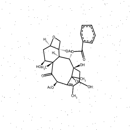 CC(=O)O[C@H]1C(=O)[C@@]2(C)[C@H]([C@H](OC(=O)c3ccccc3)[C@]3(O)CC(O)C(C)=C1C3(C)C)[C@]1(OC(C)=O)CO[C@@H]1C[C@@H]2O